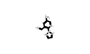 Cc1cnc(-n2nccn2)c(C=O)c1